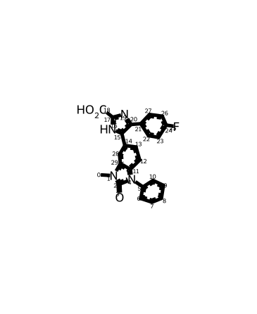 Cn1c(=O)n(-c2ccccc2)c2ccc(-c3[nH]c(C(=O)O)nc3-c3ccc(F)cc3)cc21